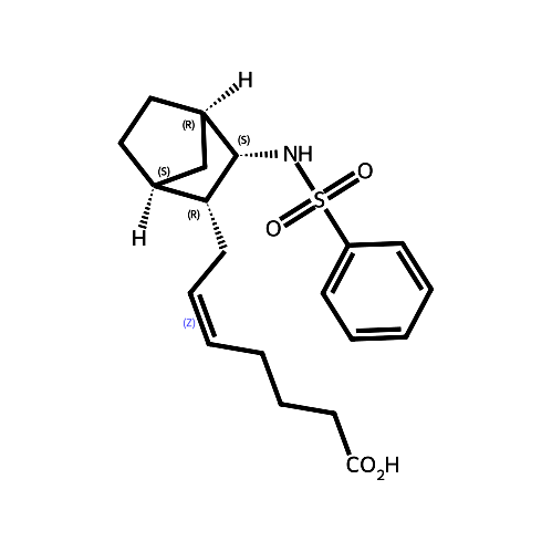 O=C(O)CCC/C=C\C[C@@H]1[C@H]2CC[C@H](C2)[C@@H]1NS(=O)(=O)c1ccccc1